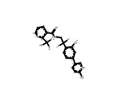 O=C(NCC(F)(F)c1ccc(-c2ccc(Cl)nc2)cc1Cl)c1cccnc1C(F)(F)F